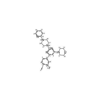 Fc1ccc(-c2cc(N3CCOCC3)nc(N3CCN(c4ccccn4)CC3)n2)cc1F